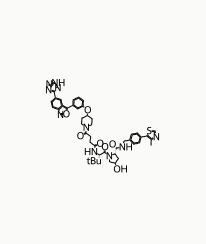 Cc1ncsc1-c1ccc(CNC(=O)[C@@H]2C[C@@H](O)CN2C(=O)[C@@H](NC(=O)CCC(=O)N2CCC(Oc3cccc(-c4onc5ccc(-c6nn[nH]n6)cc45)c3)CC2)C(C)(C)C)cc1